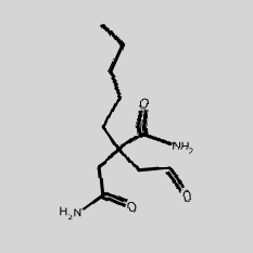 CCCCCC(CC=O)(CC(N)=O)C(N)=O